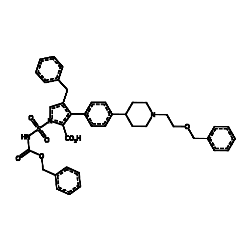 O=C(NS(=O)(=O)n1cc(Cc2ccccc2)c(-c2ccc(C3CCN(CCOCc4ccccc4)CC3)cc2)c1C(=O)O)OCc1ccccc1